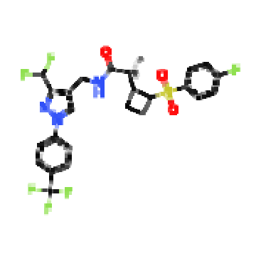 C[C@@H](C(=O)NCc1cn(-c2ccc(C(F)(F)F)cc2)nc1C(F)F)C1CCC1S(=O)(=O)c1ccc(F)cc1